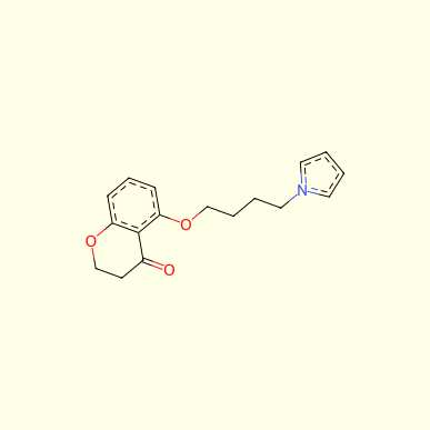 O=C1CCOc2cccc(OCCCCn3cccc3)c21